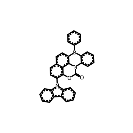 O=C1Oc2c(-n3c4ccccc4c4ccccc43)ccc3ccc4c(c23)N1c1ccccc1B4c1ccccc1